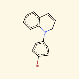 Brc1ccc(N2CC=Cc3ccccc32)cc1